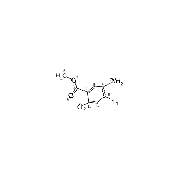 COC(=O)c1cc(N)c(I)cc1Cl